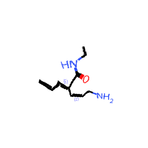 C=C/C=C(\C=C/CN)C(=O)NCC